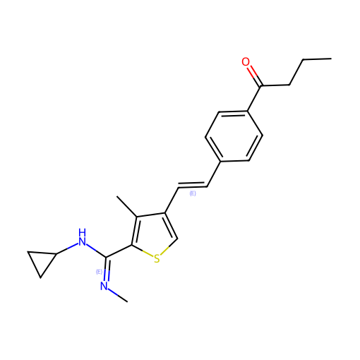 CCCC(=O)c1ccc(/C=C/c2csc(/C(=N\C)NC3CC3)c2C)cc1